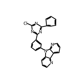 Clc1nc(-c2ccccc2)nc(-c2cccc(-n3c4cccnc4c4cccnc43)c2)n1